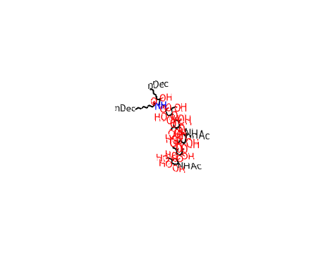 CCCCCCCCCCCCC/C=C/[C@@H](O)[C@H](CO[C@@H]1OC(CO)[C@@H](O[C@@H]2OC(CO)[C@H](O)[C@H](O[C@@H]3OC(CO)[C@@H](O[C@@H]4OC(CO)[C@H](O)[C@H](O[C@@H]5OC(CO)[C@@H](O)[C@H](O)C5NC(C)=O)C4O)[C@H](O)C3NC(C)=O)C2O)[C@H](O)C1O)NC(=O)CCCCCCCCCCCCCCCCC